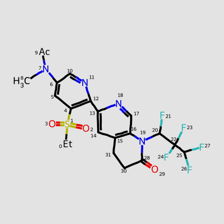 CCS(=O)(=O)c1cc(N(C)C(C)=O)cnc1-c1cc2c(cn1)N(C(F)C(F)(F)C(F)F)C(=O)CC2